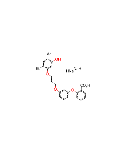 CCc1cc(C(C)=O)c(O)cc1OCCCOc1cccc(Oc2ccccc2C(=O)O)c1.[NaH].[NaH]